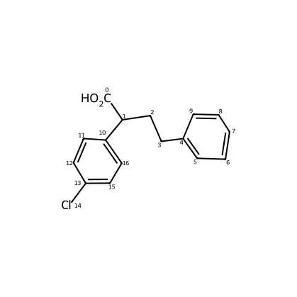 O=C(O)C(CCc1ccccc1)c1ccc(Cl)cc1